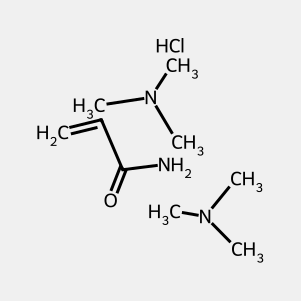 C=CC(N)=O.CN(C)C.CN(C)C.Cl